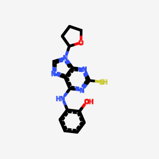 Oc1ccccc1Nc1nc(S)nc2c1ncn2C1CCCO1